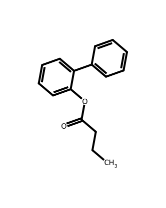 CCCC(=O)Oc1ccccc1-c1ccccc1